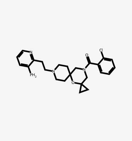 O=C(c1ccccc1Cl)N1CC2(CCN(CCc3ncccc3P)CC2)OC2(CC2)C1